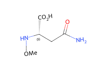 CON[C@@H](CC(N)=O)C(=O)O